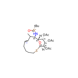 CC(=O)O[C@@H]1[C@H](OC(C)=O)[C@@H](OC(C)=O)[C@@H]2O[C@@H]1[C@H](N[S@+]([O-])C(C)(C)C)C(C)/C=C/CCCCS2